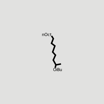 CCCCCCCCCCCCCCC(C)OCC(C)C